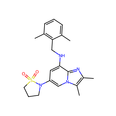 Cc1cccc(C)c1CNc1cc(N2CCCS2(=O)=O)cn2c(C)c(C)nc12